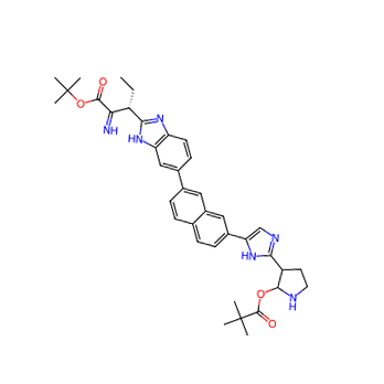 CC[C@@H](C(=N)C(=O)OC(C)(C)C)c1nc2ccc(-c3ccc4ccc(-c5cnc(C6CCNC6OC(=O)C(C)(C)C)[nH]5)cc4c3)cc2[nH]1